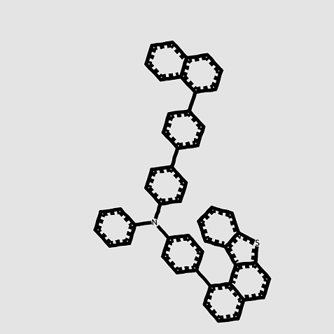 c1ccc(N(c2ccc(-c3ccc(-c4cccc5ccccc45)cc3)cc2)c2ccc(-c3cccc4ccc5sc6ccccc6c5c34)cc2)cc1